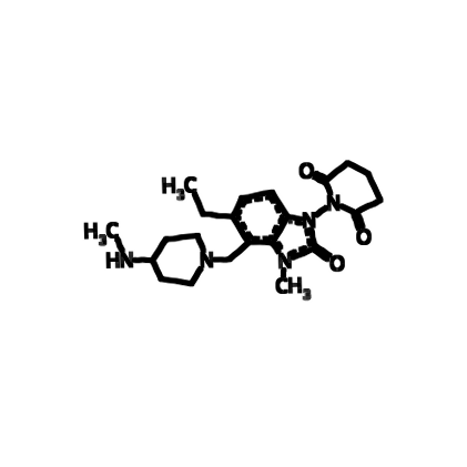 CCc1ccc2c(c1CN1CCC(NC)CC1)n(C)c(=O)n2N1C(=O)CCCC1=O